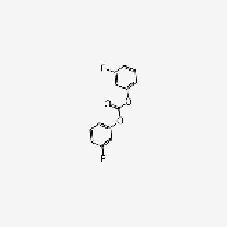 O=C(Oc1cccc(F)c1)Oc1cccc(F)c1